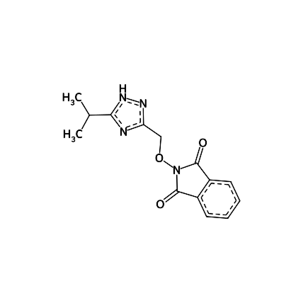 CC(C)c1nc(CON2C(=O)c3ccccc3C2=O)n[nH]1